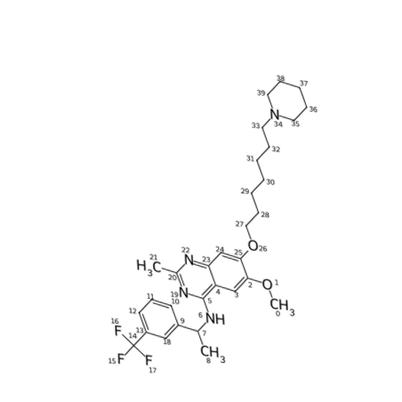 COc1cc2c(NC(C)c3cccc(C(F)(F)F)c3)nc(C)nc2cc1OCCCCCCCN1CCCCC1